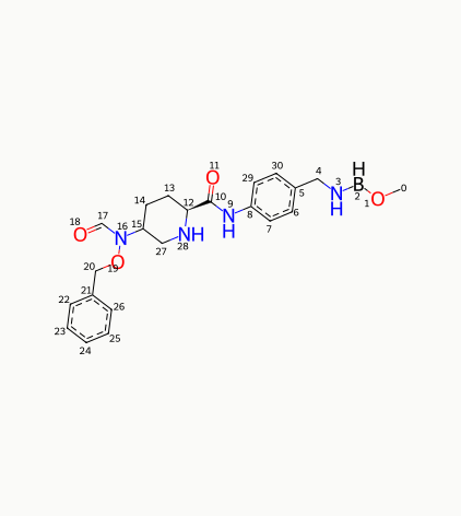 COBNCc1ccc(NC(=O)[C@@H]2CCC(N(C=O)OCc3ccccc3)CN2)cc1